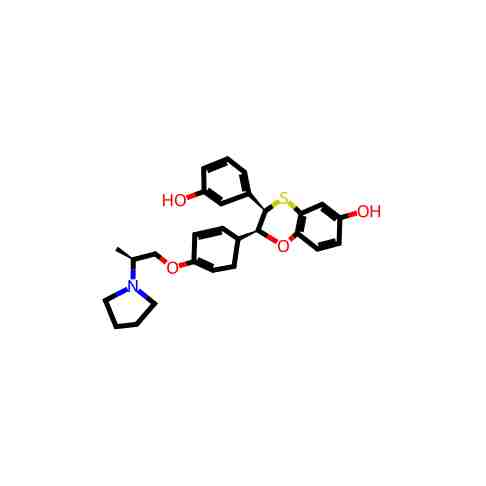 C[C@@H](COC1=CCC([C@@H]2Oc3ccc(O)cc3S[C@@H]2c2cccc(O)c2)C=C1)N1CCCC1